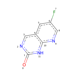 O=c1ncc2cc(F)cnc2[nH]1